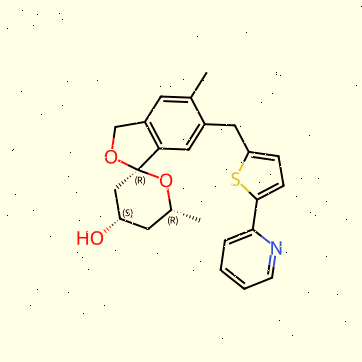 Cc1cc2c(cc1Cc1ccc(-c3ccccn3)s1)[C@]1(C[C@@H](O)C[C@@H](C)O1)OC2